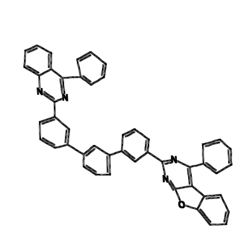 c1ccc(-c2nc(-c3cccc(-c4cccc(-c5cccc(-c6nc(-c7ccccc7)c7c(n6)oc6ccccc67)c5)c4)c3)nc3ccccc23)cc1